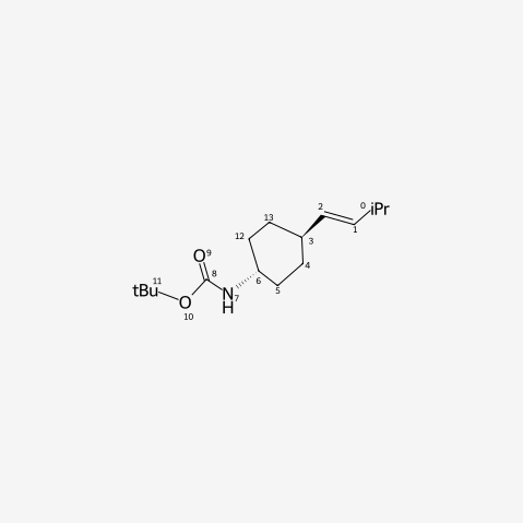 CC(C)C=C[C@H]1CC[C@H](NC(=O)OC(C)(C)C)CC1